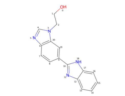 OCCn1cnc2ccc(-c3nc4ccccc4[nH]3)cc21